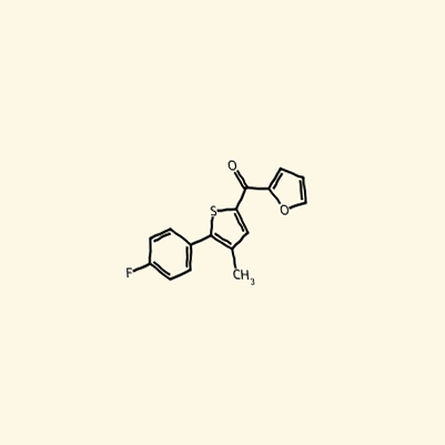 Cc1cc(C(=O)c2ccco2)sc1-c1ccc(F)cc1